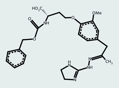 COc1cc(CC(C)=NNC2=NCCN2)ccc1OCC[C@H](NC(=O)OCc1ccccc1)C(=O)O